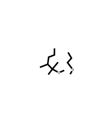 CCCC(C)C(C)(C)OC.CCCOC